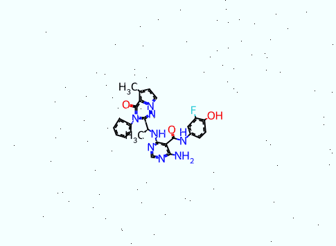 Cc1ccn2nc([C@H](C)Nc3ncnc(N)c3C(=O)Nc3ccc(O)c(F)c3)n(-c3ccccc3)c(=O)c12